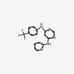 FC(F)(F)c1ccc(Nc2cc(Nc3ccccn3)ncn2)cc1